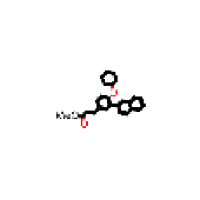 COC(=O)CCc1ccc(OC2CCCCC2)c(-c2ccc3ccccc3c2)c1